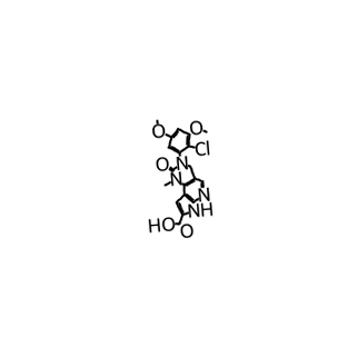 COc1cc(OC)c(Cl)c(N2Cc3cnc4[nH]c(C(=O)O)cc4c3N(C)C2=O)c1